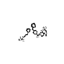 O=C(O)NC/C=C/c1cccc([C@@H](c2ccccc2)C2CCN(C(=O)N3CC[C@@H]4OCC(=O)N[C@@H]4C3)CC2)c1